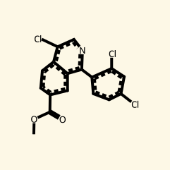 COC(=O)c1ccc2c(Cl)cnc(-c3ccc(Cl)cc3Cl)c2c1